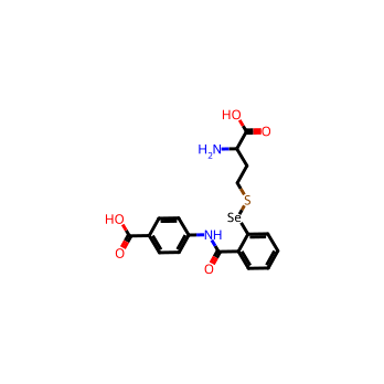 NC(CCS[Se]c1ccccc1C(=O)Nc1ccc(C(=O)O)cc1)C(=O)O